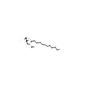 CCCCCCCCCCCC1=NC(C)(C(C)(C)C)CN1C(C)C